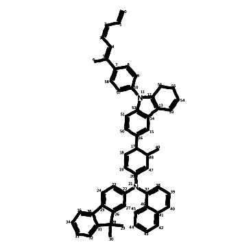 C=C/C=C\C=C(/C)c1ccc(-n2c3c(c4cc(C5C=CC(N(c6ccc7c(c6)C(C)(C)c6ccccc6-7)c6cccc7ccccc67)=CC5C)ccc42)C=CCC3)cc1